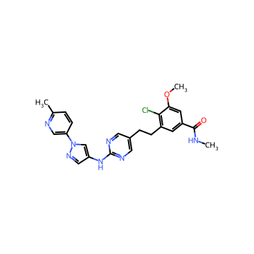 CNC(=O)c1cc(CCc2cnc(Nc3cnn(-c4ccc(C)nc4)c3)nc2)c(Cl)c(OC)c1